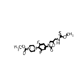 COC(=O)N1CCN(c2c(F)cc(N3CC(CNC(=S)OC)OC3=O)cc2F)CC1